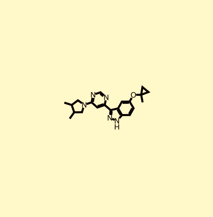 CC1CN(c2cc(-c3n[nH]c4ccc(OC5(C)CC5)cc34)ncn2)CC1C